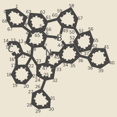 c1ccc(-c2cc3c4c(c2)C2(c5ccccc5-c5ccccc52)c2cc(-c5ccccc5)cc5c6cc(-c7ccccc7)cc(c6n-4c25)B3c2c(-c3ccccc3)cccc2-c2ccccc2)cc1